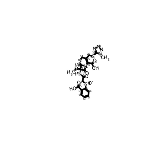 CO[C@@]1(NC(=O)C[S+]([O-])c2ccccc2C(=O)O)C(=O)N2C(C(=O)O)=C(CSc3nnnn3C)CS[C@H]21